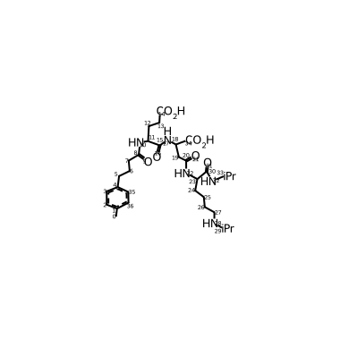 Cc1ccc(CCCC(=O)NC(CCC(=O)O)C(=O)NC(CC(=O)NC(CCCCNC(C)C)C(=O)NC(C)C)C(=O)O)cc1